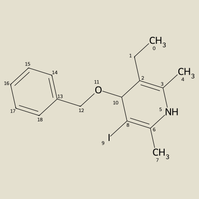 CCC1=C(C)NC(C)=C(I)C1OCc1ccccc1